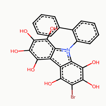 Oc1c(O)c(O)c2c(c1O)c1c(O)c(Br)c(O)c(O)c1n2-c1ccccc1-c1ccccc1